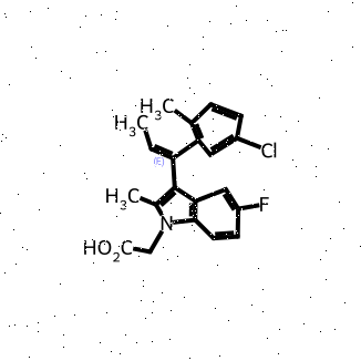 C/C=C(\c1cc(Cl)ccc1C)c1c(C)n(CC(=O)O)c2ccc(F)cc12